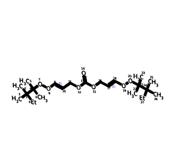 CCC(C)(C)C(C)(C)OO/C=C/COC(=O)OC/C=C/OOC(C)(C)C(C)(C)CC